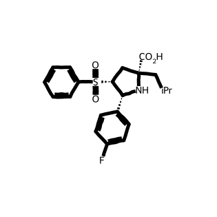 CC(C)C[C@]1(C(=O)O)C[C@@H](S(=O)(=O)c2ccccc2)[C@@H](c2ccc(F)cc2)N1